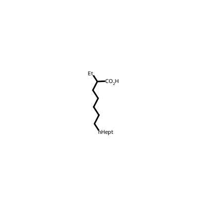 CCCCCCCCCCCCC(CC)C(=O)O